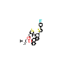 C1=CCSC=C1.CCOC(C)=O.Fc1ccc(-c2ccc(C3=Cc4ccc5c(c4CC3)CCc3ccccc3-5)s2)cc1